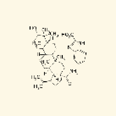 C=C(C)[C@@H]1CC[C@]2(C(N)=O)CC[C@]3(C)[C@H](CC[C@@H]4[C@@]5(C)CC[C@H](O)C(C)(C)[C@@H]5CC[C@]43C)[C@@H]12.O=C(O)c1nc2ccccc2[nH]1